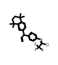 C=CC(c1ccc(/N=C(/Cl)C(F)(F)F)cc1)c1ccc2c(c1)C(C)(C)CCC2(C)C